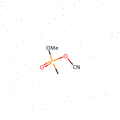 COP(C)(=O)OC#N